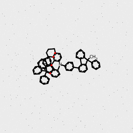 CC1(c2ccccc2)c2ccccc2-c2c(-c3ccc(N(c4ccccc4-c4cccc5cccc(C6CCCCC6)c45)c4cccc5c4-c4ccccc4C5(c4ccccc4)c4ccccc4)cc3)cccc21